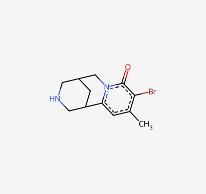 Cc1cc2n(c(=O)c1Br)CC1CNCC2C1